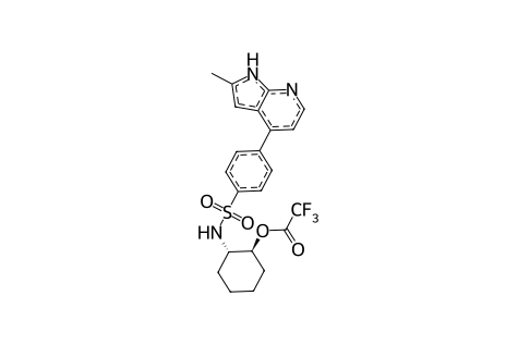 Cc1cc2c(-c3ccc(S(=O)(=O)N[C@H]4CCCC[C@@H]4OC(=O)C(F)(F)F)cc3)ccnc2[nH]1